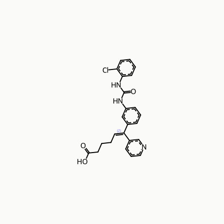 O=C(O)CCC/C=C(\c1cccnc1)c1cccc(NC(=O)Nc2ccccc2Cl)c1